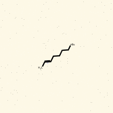 [CH2]CCCCCCC/C=C/C